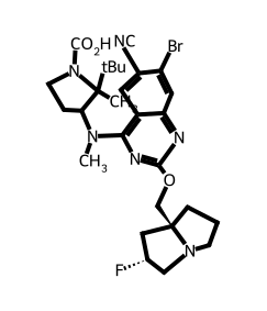 CN(c1nc(OC[C@@]23CCCN2C[C@H](F)C3)nc2cc(Br)c(C#N)cc12)C1CCN(C(=O)O)C1(C)C(C)(C)C